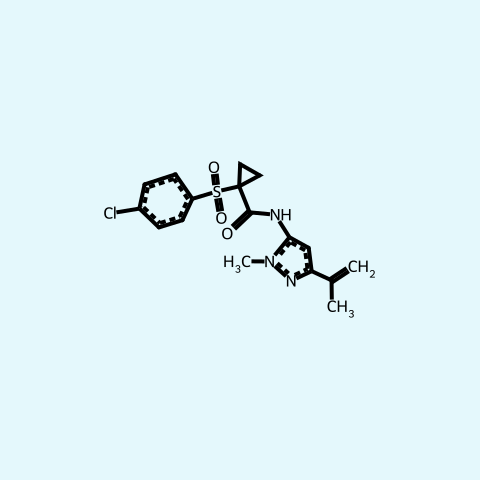 C=C(C)c1cc(NC(=O)C2(S(=O)(=O)c3ccc(Cl)cc3)CC2)n(C)n1